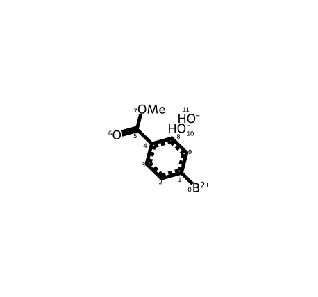 [B+2]c1ccc(C(=O)OC)cc1.[OH-].[OH-]